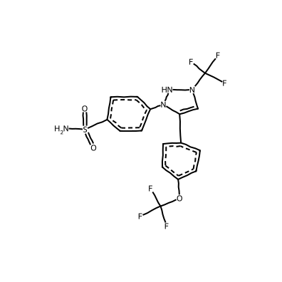 NS(=O)(=O)c1ccc(N2NN(C(F)(F)F)C=C2c2ccc(OC(F)(F)F)cc2)cc1